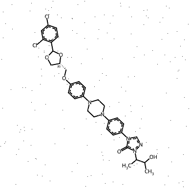 CC(O)C(C)n1ncn(-c2ccc(N3CCN(c4ccc(OC[C@@H]5COC(c6ccc(Cl)cc6Cl)O5)cc4)CC3)cc2)c1=O